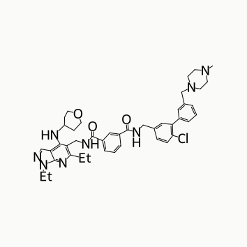 CCc1nc2c(cnn2CC)c(NC2CCOCC2)c1CNC(=O)c1cccc(C(=O)NCc2ccc(Cl)c(-c3cccc(CN4CCN(C)CC4)c3)c2)c1